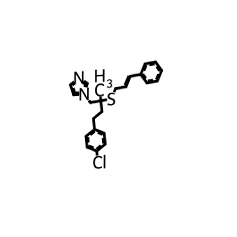 CC(CCc1ccc(Cl)cc1)(Cn1ccnc1)SCC=Cc1ccccc1